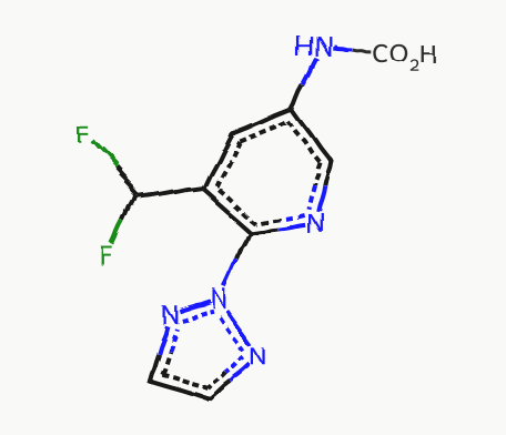 O=C(O)Nc1cnc(-n2nccn2)c(C(F)F)c1